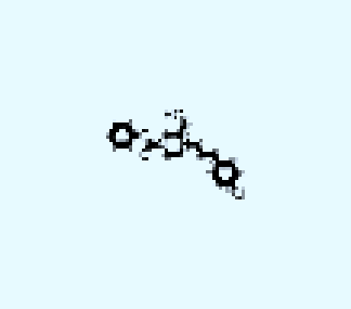 O=C(Oc1ccccc1)N1CCN(CCCc2ccc(Cl)cc2)C(CO)C1